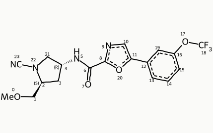 COC[C@@H]1C[C@@H](NC(=O)c2ncc(-c3cccc(OC(F)(F)F)c3)o2)CN1C#N